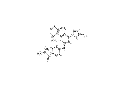 C[C@@H]1COC[C@@H](C)N1c1nc(Oc2ccc(C(=O)N(C)C)cc2)nc(-c2cnc(N)s2)n1